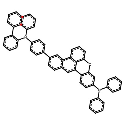 c1ccc(-c2ccccc2N(c2ccccc2)c2ccc(-c3ccc4cc5c6c(cccc6c4c3)Oc3cc(N(c4ccccc4)c4ccccc4)ccc3-5)cc2)cc1